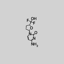 Nc1ccn([C@H]2CC[C@@H](C(O)(F)F)O2)c(=O)n1